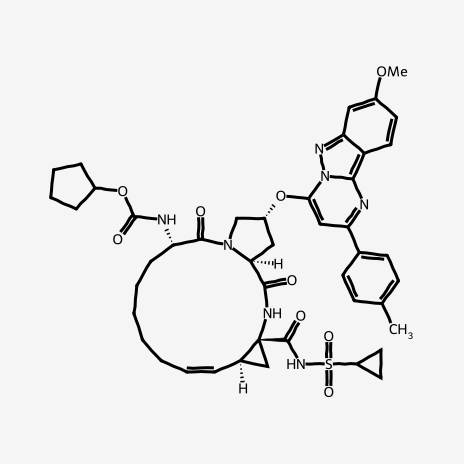 COc1ccc2c(c1)nn1c(O[C@@H]3C[C@H]4C(=O)N[C@]5(C(=O)NS(=O)(=O)C6CC6)C[C@H]5/C=C\CCCCC[C@H](NC(=O)OC5CCCC5)C(=O)N4C3)cc(-c3ccc(C)cc3)nc21